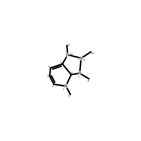 CN1C=CC=C2C1N(C)N(C)N2C